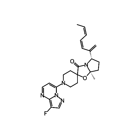 C=C(/C=C\C=C/C)[C@@H]1CC[C@@]2(C)OC3(CCN(c4ccnc5c(F)cnn45)CC3)C(=O)N12